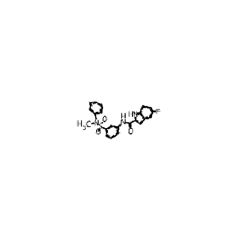 CN(c1ccccc1)S(=O)(=O)c1cccc(NC(=O)c2cc3cc(F)ccc3[nH]2)c1